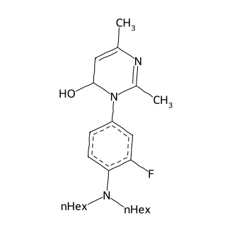 CCCCCCN(CCCCCC)c1ccc(N2C(C)=NC(C)=CC2O)cc1F